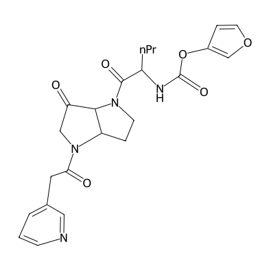 CCCC(NC(=O)Oc1ccoc1)C(=O)N1CCC2C1C(=O)CN2C(=O)Cc1cccnc1